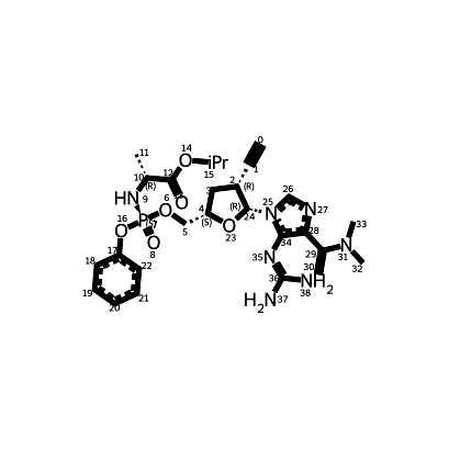 C#C[C@H]1C[C@@H](CO[P@@](=O)(N[C@H](C)C(=O)OC(C)C)Oc2ccccc2)O[C@H]1n1cnc(C(=C)N(C)C)c1N=C(N)N